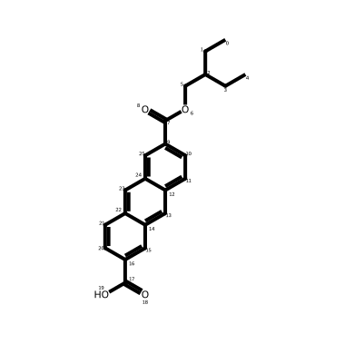 CCC(CC)COC(=O)c1ccc2cc3cc(C(=O)O)ccc3cc2c1